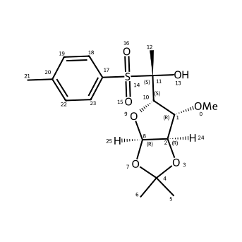 CO[C@@H]1[C@H]2OC(C)(C)O[C@H]2O[C@@H]1[C@@](C)(O)S(=O)(=O)c1ccc(C)cc1